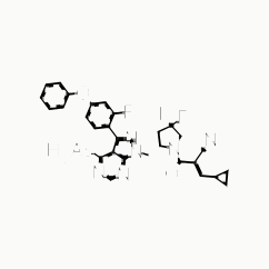 N#CC(=CC1CC1)C(=O)N1CC(F)(F)C[C@H]1Cn1nc(-c2ccc(Oc3ccccc3)cc2F)c2c([AsH2])ncnc21